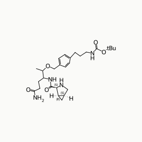 CC(OCc1ccc(CCCNC(=O)OC(C)(C)C)cc1)C(CCC(N)=O)NC(=O)[C@H]1NC[C@H]2C[C@H]21